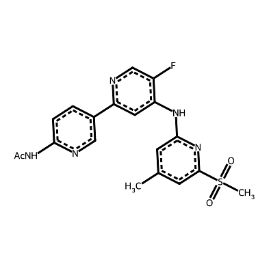 CC(=O)Nc1ccc(-c2cc(Nc3cc(C)cc(S(C)(=O)=O)n3)c(F)cn2)cn1